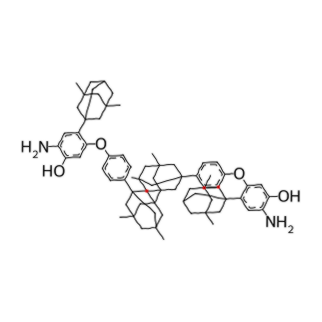 CC12CC3CC(C)(C1)CC(c1cc(N)c(O)cc1Oc1ccc(C45CC6(C)CC(C)(C4)CC(C47CC8(C)CC(C)(CC(c9ccc(Oc%10cc(O)c(N)cc%10C%10%11CC%12CC(C)(CC(C)(C%12)C%10)C%11)cc9)(C8)C4)C7)(C6)C5)cc1)(C3)C2